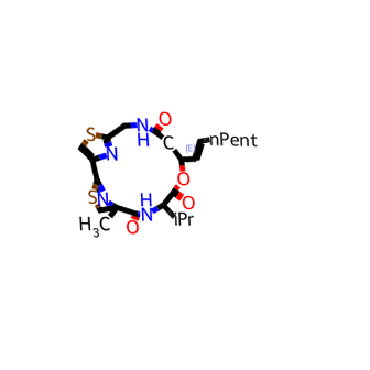 CCCCC/C=C/C1CC(=O)NCc2nc(cs2)C2=NC(C)(CS2)C(=O)NC(C(C)C)C(=O)O1